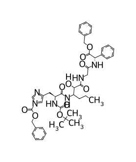 CCCC(NC(=O)[C@H](Cc1cn(C(=O)OCc2ccccc2)cn1)NC(=O)OC(C)(C)C)C(O)C(=O)NCC(=O)N[C@H](C(=O)OCc1ccccc1)c1ccccc1